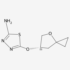 Nc1nnc(O[C@@H]2COC3(CC3)C2)s1